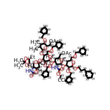 CC[C@H]1OC(C)(C)O[C@H]1C1O[C@](C)(O[C@@H]2C(OC(=O)c3ccccc3)[C@H](O[C@@H]3C(NC(=O)OCC(Cl)(Cl)Cl)[C@H](O[C@@H]4C(OCc5ccccc5)[C@H](OCCCc5ccccc5)OC(COCc5ccccc5)[C@@H]4C)OC(COC(C)=O)[C@H]3C)OC(COCc3ccccc3)[C@@H]2OC2OC(COC(C)=O)[C@H](OCc3ccccc3)[C@H](C)[C@@H]2C)C[C@H]2OC(=O)N[C@@H]12